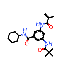 C=C(C)C(=O)Nc1cc(NC(=O)C(C)(C)C)cc(C(=O)NC2CCCCC2)c1